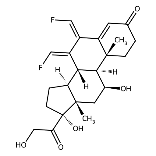 C[C@]12CCC(=O)C=C1C(=C/F)/C(=C/F)[C@@H]1[C@@H]2[C@@H](O)C[C@@]2(C)[C@H]1CC[C@]2(O)C(=O)CO